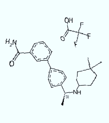 C[C@H](NC1CCC(C)(C)CC1)c1ccc(-c2cccc(C(N)=O)c2)cc1.O=C(O)C(F)(F)F